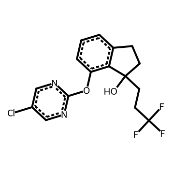 OC1(CCC(F)(F)F)CCc2cccc(Oc3ncc(Cl)cn3)c21